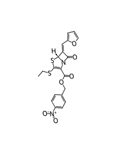 CCSC1=C(C(=O)OCc2ccc([N+](=O)[O-])cc2)N2C(=O)/C(=C\c3ccco3)[C@H]2S1